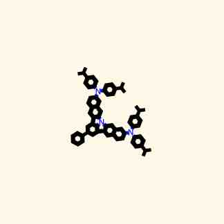 CC(C)c1ccc(N(c2ccc(C(C)C)cc2)c2ccc3cc4c5cc(-c6ccccc6)cc6c7cc8ccc(N(c9ccc(C(C)C)cc9)c9ccc(C(C)C)cc9)cc8cc7n(c4cc3c2)c56)cc1